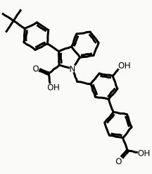 CC(C)(C)c1ccc(-c2c(C(=O)O)n(Cc3cc(O)cc(-c4ccc(C(=O)O)cc4)c3)c3ccccc23)cc1